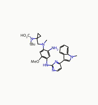 COc1cc(N(C)CC2(N(C(=O)O)C(C)(C)C)CC2)c(N)cc1Nc1nccc(-c2cn(C)c3ccccc23)n1